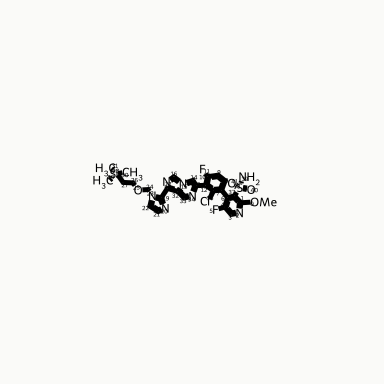 COc1ncc(F)c(-c2ccc(F)c(-c3cn4cnc(-c5nccn5COCC[Si](C)(C)C)c4cn3)c2Cl)c1S(N)(=O)=O